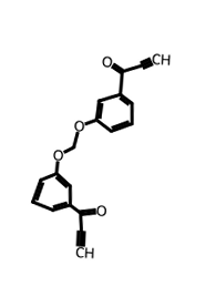 C#CC(=O)c1cccc(OCOc2cccc(C(=O)C#C)c2)c1